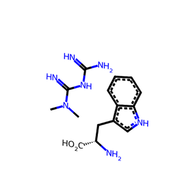 CN(C)C(=N)NC(=N)N.N[C@@H](Cc1c[nH]c2ccccc12)C(=O)O